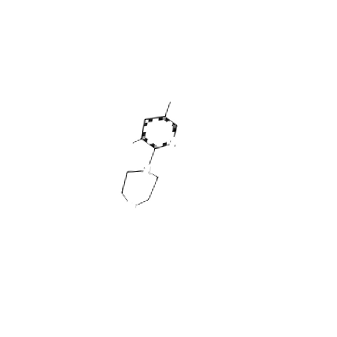 Fc1cnc(N2CCOCC2)c(F)c1